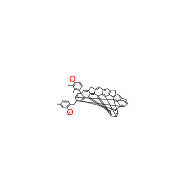 COc1cc(C)ccc1CC12C3=CC4(c5ccc(OC)c(C)c5C)C=C5Cc6cc7cc8c9c%10c(cc%11cc(c1c1c%11c%10c%10c1c1c2c4c2c5c6c4c7c9c%10c4c21)C3)C8